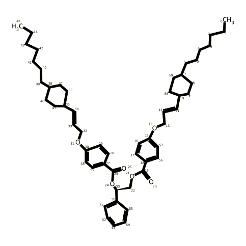 CCCCCCCC1CCC(C=CCOc2ccc(C(=O)OC[C@H](OC(=O)c3ccc(OCC=CC4CCC(CCCCCCC)CC4)cc3)c3ccccc3)cc2)CC1